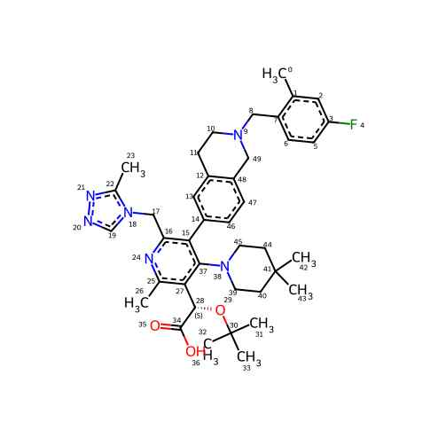 Cc1cc(F)ccc1CN1CCc2cc(-c3c(Cn4cnnc4C)nc(C)c([C@H](OC(C)(C)C)C(=O)O)c3N3CCC(C)(C)CC3)ccc2C1